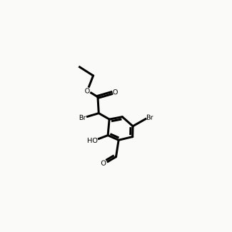 CCOC(=O)C(Br)c1cc(Br)cc(C=O)c1O